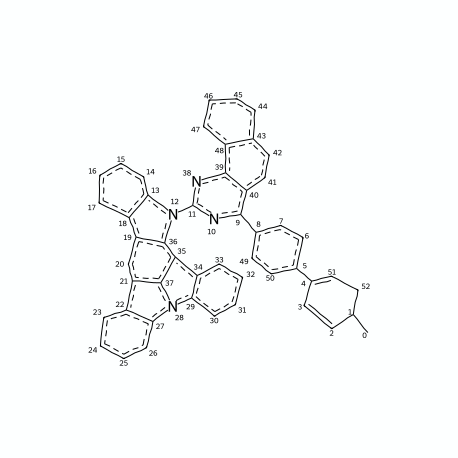 CC1C=CC(c2ccc(-c3nc(-n4c5ccccc5c5cc6c7ccccc7n7c8ccccc8c(c54)c67)nc4c3ccc3ccccc34)cc2)=CC1